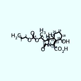 C=CCOC(=O)O[C@H](C)[C@H]1C(=O)N2C(C(=O)O)=C3[C@H](O)CCC[C@H]3[C@H]12